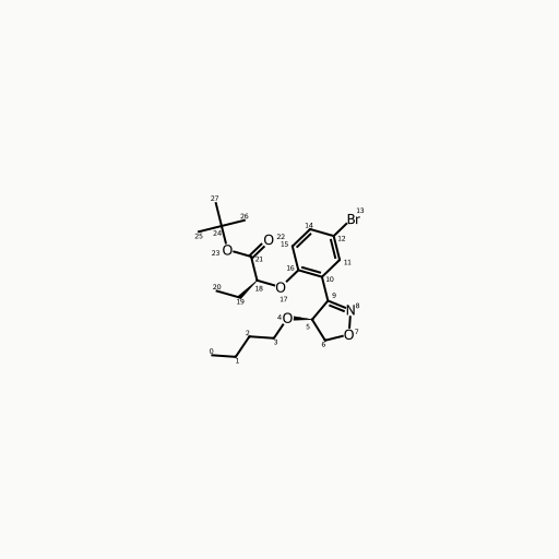 CCCCO[C@@H]1CON=C1c1cc(Br)ccc1O[C@@H](CC)C(=O)OC(C)(C)C